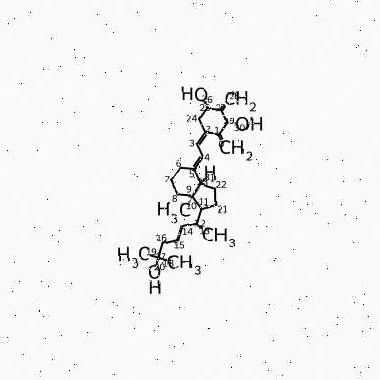 C=C1/C(=C\C=C2/CCC[C@]3(C)C([C@@H](C)CCCC(C)(C)O)CC[C@@H]23)C[C@@H](O)C(=C)[C@@H]1O